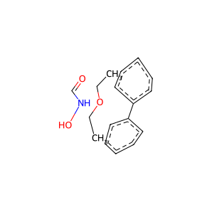 CCOCC.O=CNO.c1ccc(-c2ccccc2)cc1